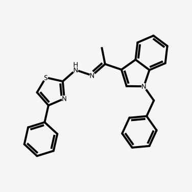 C/C(=N\Nc1nc(-c2ccccc2)cs1)c1cn(Cc2ccccc2)c2ccccc12